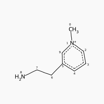 C[n+]1cccc(CCN)c1